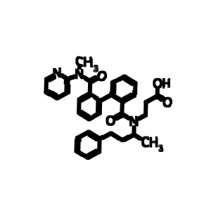 CC(CCc1ccccc1)N(CCC(=O)O)C(=O)c1ccccc1-c1ccccc1C(=O)N(C)c1ccccn1